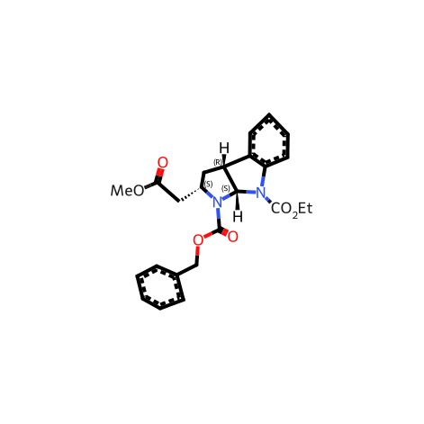 CCOC(=O)N1c2ccccc2[C@H]2C[C@@H](CC(=O)OC)N(C(=O)OCc3ccccc3)[C@H]21